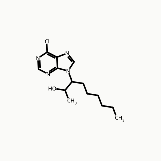 CCCCCCC(C(C)O)n1cnc2c(Cl)ncnc21